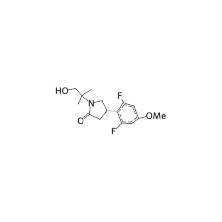 COc1cc(F)c(C2CC(=O)N(C(C)(C)CO)C2)c(F)c1